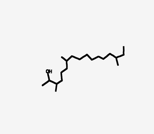 CCC(C)CCCCCCCC(C)CCCC(C)C(C)O